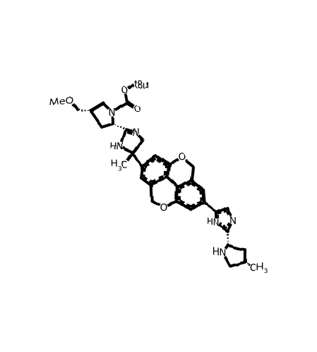 COC[C@H]1C[C@@H](C2=NCC(C)(c3cc4c5c(c3)OCc3cc(-c6cnc([C@@H]7C[C@H](C)CN7)[nH]6)cc(c3-5)OC4)N2)N(C(=O)OC(C)(C)C)C1